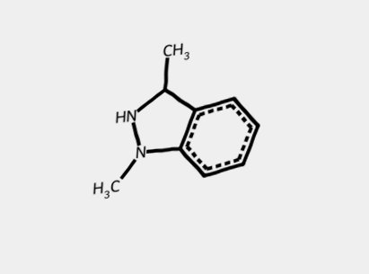 CC1NN(C)c2ccccc21